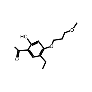 CCc1cc(C(C)=O)c(O)cc1OCCCOC